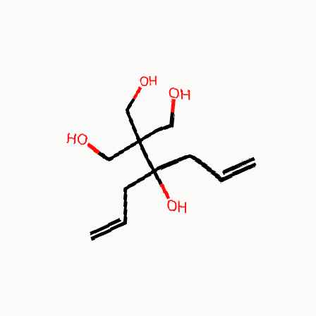 C=CCC(O)(CC=C)C(CO)(CO)CO